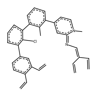 C=CC(C=C)=C/N=c1/cc(-c2cccc(-c3cccc(-c4ccc(C=C)c(C=C)c4)c3Cl)c2C)ccn1C